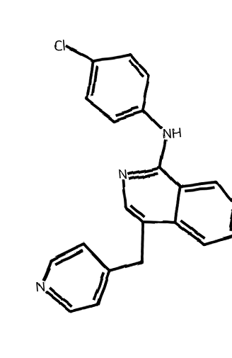 Clc1ccc(Nc2ncc(Cc3ccncc3)c3ccccc23)cc1